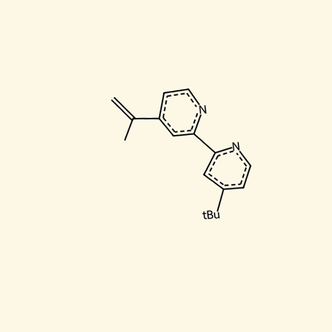 C=C(C)c1ccnc(-c2cc(C(C)(C)C)ccn2)c1